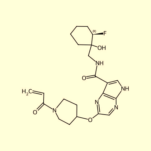 C=CC(=O)N1CCC(Oc2cnc3[nH]cc(C(=O)NCC4(O)CCCC[C@H]4F)c3n2)CC1